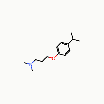 CC(C)c1ccc(OCCCN(C)C)cc1